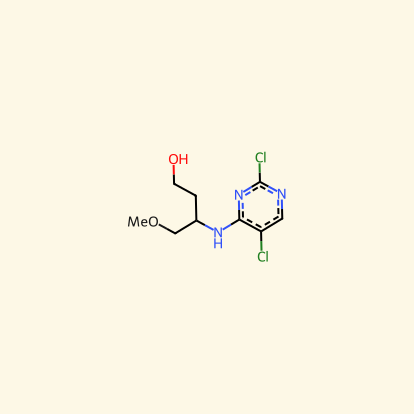 COCC(CCO)Nc1nc(Cl)ncc1Cl